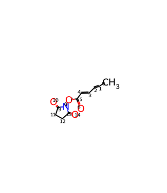 CC=CC=CC(=O)ON1C(=O)CCC1=O